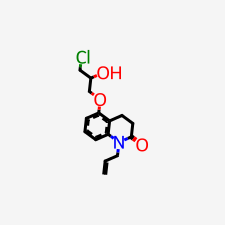 C=CCN1C(=O)CCc2c(OCC(O)CCl)cccc21